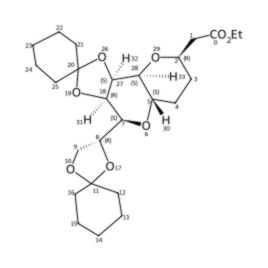 CCOC(=O)C[C@H]1CC[C@@H]2O[C@@H]([C@H]3COC4(CCCCC4)O3)[C@H]3OC4(CCCCC4)O[C@H]3[C@H]2O1